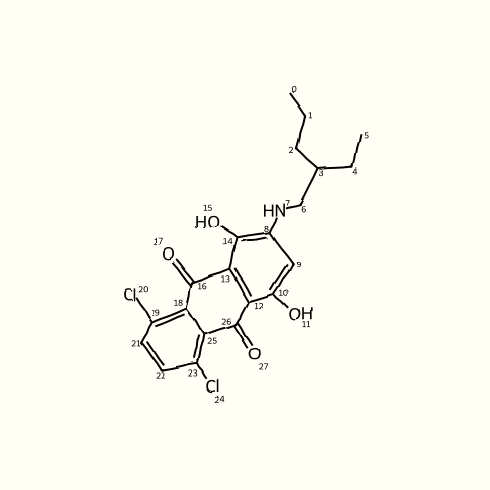 CCCC(CC)CNc1cc(O)c2c(c1O)C(=O)c1c(Cl)ccc(Cl)c1C2=O